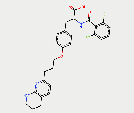 O=C(NC(Cc1ccc(OCCCc2ccc3c(n2)NCCC3)cc1)C(=O)O)c1c(F)cccc1F